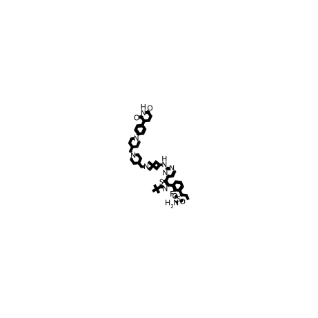 CCC(c1cccc(-c2nc(C(C)(C)C)sc2-c2ccnc(NC3CC4(C3)CN(CC3CCN(CC5CCN(c6ccc(C7CCC(=O)NC7=O)cc6)CC5)CC3)C4)n2)c1F)S(N)(=O)=O